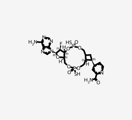 NC(=O)c1cc([C@@H]2CC3COP(=O)(S)O[C@H]4[C@H](F)[C@H](n5cnc6c(N)ncnc65)O[C@@H]4COP(=O)(S)OC[C@H]32)ccn1